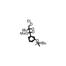 CCOCC1(C(C)(C)C)OOC1(OC)c1cccc(O[Si](C)(C)C(C)(C)C)c1